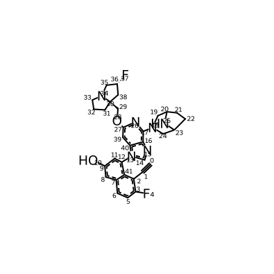 C#Cc1c(F)ccc2cc(O)cc(-n3cnc4c(N5CC6CCC(C5)N6)nc(OC[C@@]56CCCN5C[C@H](F)C6)cc43)c12